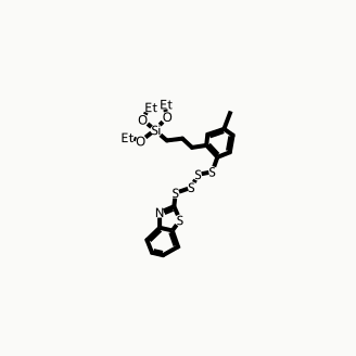 CCO[Si](CCCc1cc(C)ccc1SSSSc1nc2ccccc2s1)(OCC)OCC